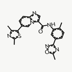 Cc1nc(-c2ccc(C)c(NC(=O)c3cnc4ccc(-c5sc(C)nc5C)cn34)c2)no1